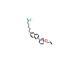 C=CCOc1cccc(-c2ccc3cc(CCCCCC(C)F)ccc3c2)n1